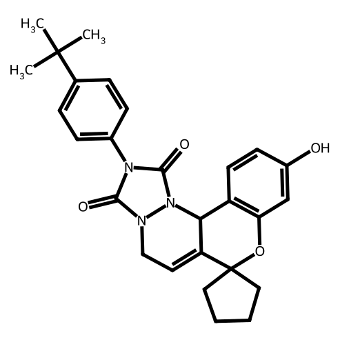 CC(C)(C)c1ccc(-n2c(=O)n3n(c2=O)C2C(=CC3)C3(CCCC3)Oc3cc(O)ccc32)cc1